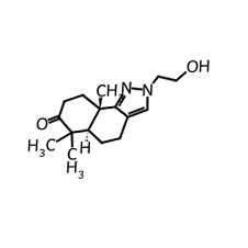 CC1(C)C(=O)CC[C@]2(C)c3nn(CCO)cc3CC[C@@H]12